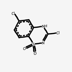 O=S1(=O)N=C(Cl)Nc2cc(Cl)ccc21